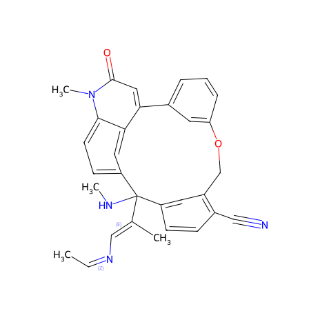 C/C=N\C=C(/C)C1(NC)c2ccc(C#N)c(c2)COc2cccc(c2)-c2cc(=O)n(C)c3ccc1cc23